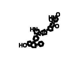 O=C1CC[C@@H](N2Cc3cc(N4CCN(CC5(c6ccc([C@@H]7c8ccc(O)cc8CC[C@@H]7c7ccccc7)cc6)CCNCC5)CC4)ccc3C2=O)C(=O)N1